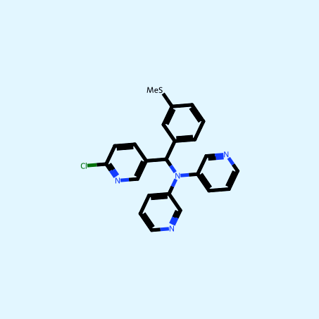 CSc1cccc(C(c2ccc(Cl)nc2)N(c2cccnc2)c2cccnc2)c1